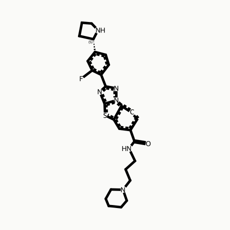 O=C(NCCCN1CCCCC1)c1ccc2c(c1)sc1nc(-c3ccc([C@@H]4CCCN4)cc3F)nn12